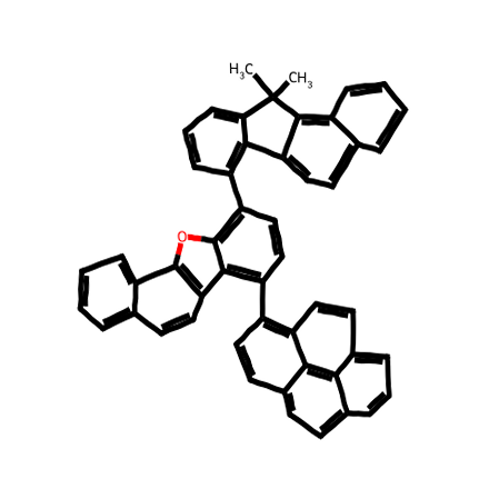 CC1(C)c2cccc(-c3ccc(-c4ccc5ccc6cccc7ccc4c5c67)c4c3oc3c5ccccc5ccc34)c2-c2ccc3ccccc3c21